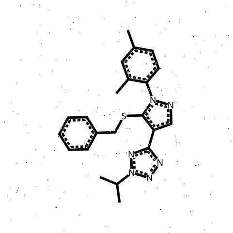 Cc1ccc(-n2ncc(-c3nnn(C(C)C)n3)c2SCc2ccccc2)c(C)c1